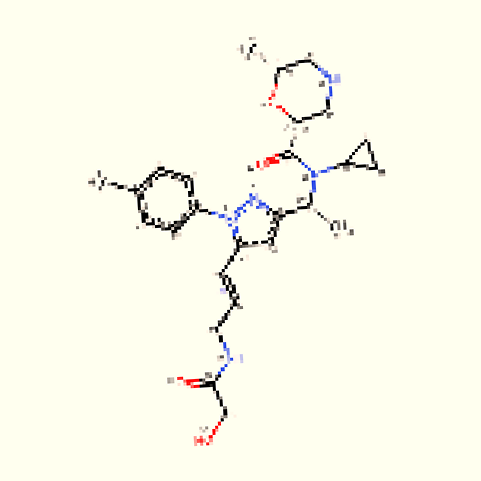 Cc1ccc(-n2nc([C@@H](C)N(C(=O)[C@H]3CNC[C@@H](C)O3)C3CC3)cc2/C=C/CNC(=O)CO)cc1